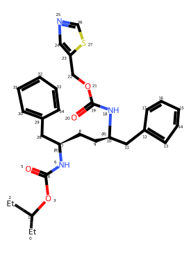 CCC(CC)OC(=O)N[C@H](CC[C@H](Cc1ccccc1)NC(=O)OCc1cncs1)Cc1ccccc1